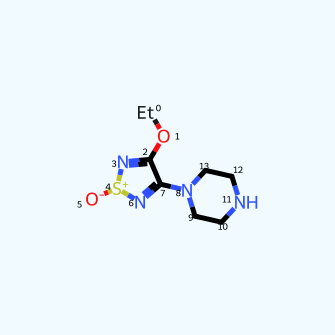 CCOc1n[s+]([O-])nc1N1CCNCC1